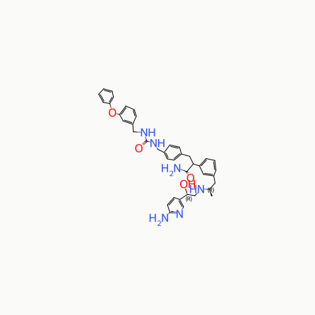 C[C@H](Cc1cccc(C(Cc2ccc(CNC(=O)NCc3cccc(Oc4ccccc4)c3)cc2)C(N)=O)c1)NC[C@H](O)c1ccc(N)nc1